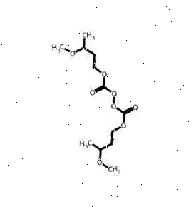 COC(C)CCOC(=O)OOC(=O)OCCC(C)OC